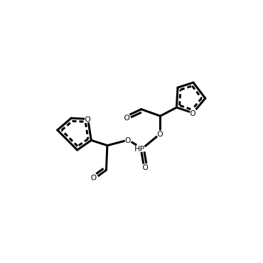 O=CC(O[PH](=O)OC(C=O)c1ccco1)c1ccco1